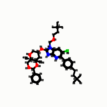 C[Si](C)(C)CCOCn1c(O[C@H]2CO[C@@H]3COC(c4ccccc4)O[C@H]3C2)nc2nc(-c3ccc(CC[Si](C)(C)C)cc3)c(Cl)cc21